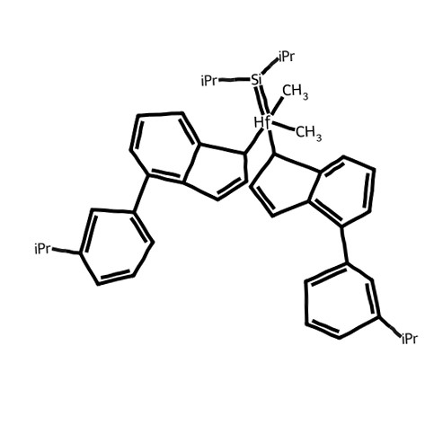 CC(C)c1cccc(-c2cccc3c2C=C[CH]3[Hf]([CH3])([CH3])([CH]2C=Cc3c(-c4cccc(C(C)C)c4)cccc32)=[Si](C(C)C)C(C)C)c1